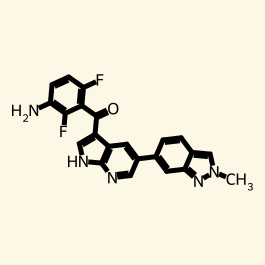 Cn1cc2ccc(-c3cnc4[nH]cc(C(=O)c5c(F)ccc(N)c5F)c4c3)cc2n1